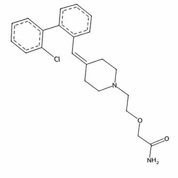 NC(=O)COCCN1CCC(=Cc2ccccc2-c2ccccc2Cl)CC1